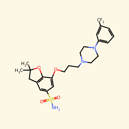 CC1(C)Cc2cc(S(N)(=O)=O)cc(OCCCN3CCN(c4cccc(C(F)(F)F)c4)CC3)c2O1